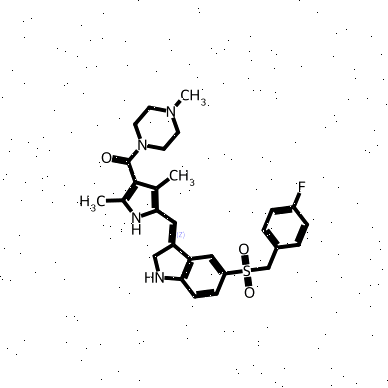 Cc1[nH]c(/C=C2\CNc3ccc(S(=O)(=O)Cc4ccc(F)cc4)cc32)c(C)c1C(=O)N1CCN(C)CC1